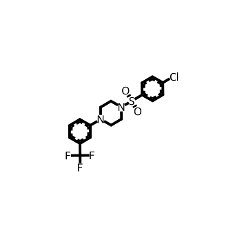 O=S(=O)(c1ccc(Cl)cc1)N1CCN(c2cccc(C(F)(F)F)c2)CC1